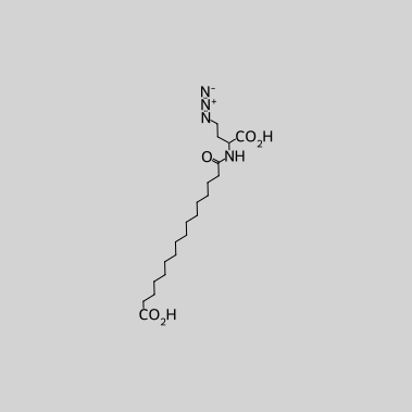 [N-]=[N+]=NCCC(NC(=O)CCCCCCCCCCCCCCC(=O)O)C(=O)O